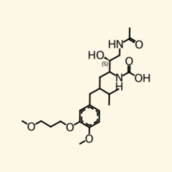 COCCCOc1cc(CC(CC(NC(=O)O)[C@@H](O)CNC(C)=O)C(C)C)ccc1OC